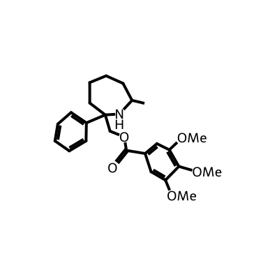 COc1cc(C(=O)OCC2(c3ccccc3)CCCCC(C)N2)cc(OC)c1OC